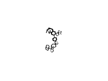 CCOc1cc2cccnc2cc1-c1ccc(OC2CCN(C(=O)[C@H]3CCCO3)CC2)cc1